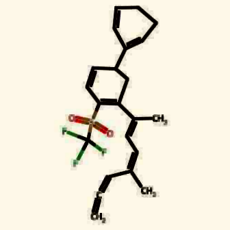 C=C=C/C(C)=C\C=C(/C)C1=C(S(=O)(=O)C(F)(F)F)C=CC(C2=CCCC=C2)C1